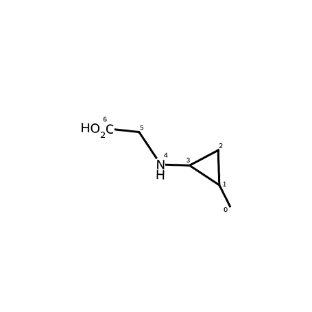 CC1CC1NCC(=O)O